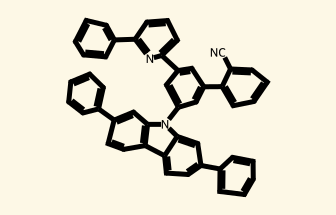 N#Cc1ccccc1-c1cc(-c2cccc(-c3ccccc3)n2)cc(-n2c3cc(-c4ccccc4)ccc3c3ccc(-c4ccccc4)cc32)c1